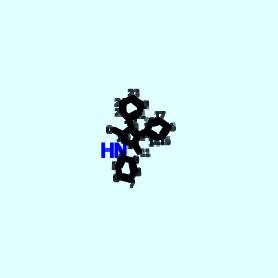 CC1=C(Nc2ccccc2)C(C)C(c2ccccc2)=C1c1ccccc1